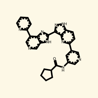 O=C(Nc1cncc(-c2ccc3[nH]nc(-c4nc5c(-c6ccccn6)cncc5[nH]4)c3n2)c1)C1CCCC1